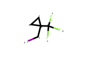 FC(F)(F)C1(CI)CC1